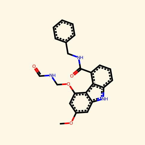 COc1cc(OCNC=O)c2c(c1)[nH]c1cccc(C(=O)NCc3ccccc3)c12